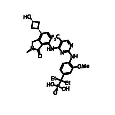 CCC(CC)(c1ccc(Nc2ncc(C(F)(F)F)c(Nc3ccc([C@H]4C[C@@H](O)C4)c4c3C(=O)N(C)C4)n2)c(OC)c1)P(=O)(O)O